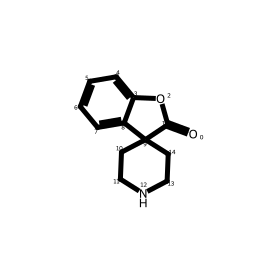 O=C1Oc2ccccc2C12CCNCC2